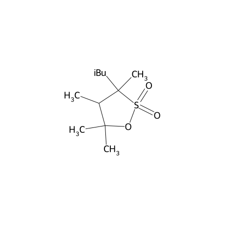 CCC(C)C1(C)C(C)C(C)(C)OS1(=O)=O